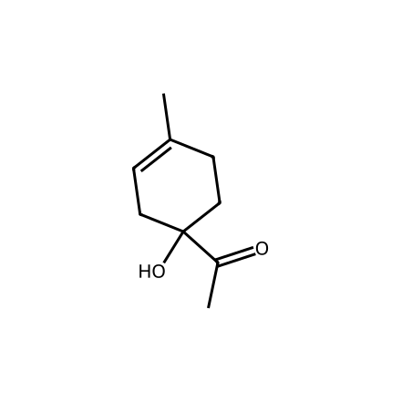 CC(=O)C1(O)CC=C(C)CC1